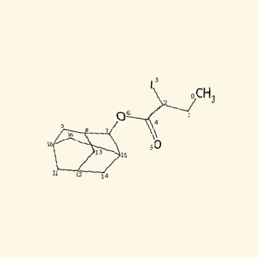 CCC(I)C(=O)OC1C2CC3CC(C2)CC1C3